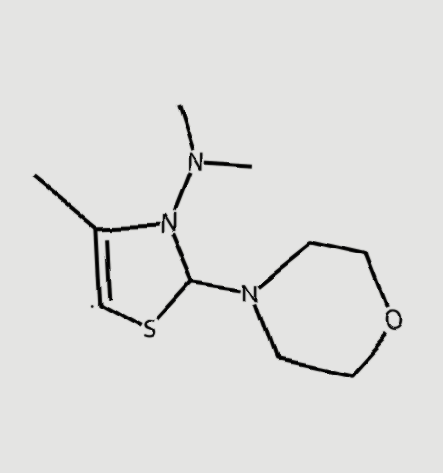 CC1=[C]SC(N2CCOCC2)N1N(C)C